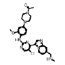 CNCc1ccn2c(-c3nc(Nc4ccc(N5CCN(C(C)=O)CC5)cc4OC)ncc3Cl)cnc2c1